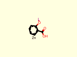 O=C(O)c1ccccc1OI.[Zn]